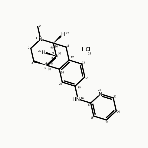 CN1CC[C@]23CCCC[C@H]2[C@H]1Cc1ccc(Nc2ccccn2)cc13.Cl